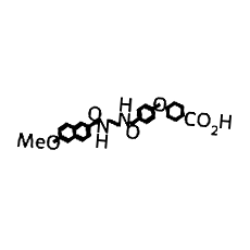 COc1ccc2cc(C(=O)NCCNC(=O)c3ccc(O[C@H]4CC[C@@H](C(=O)O)CC4)cc3)ccc2c1